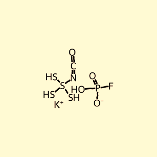 O=C=NS(S)(S)S.O=P([O-])(O)F.[K+]